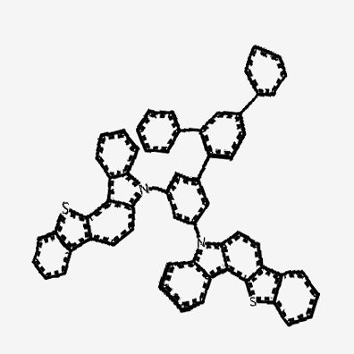 c1ccc(-c2ccc(-c3cc(-n4c5ccccc5c5c6sc7ccccc7c6ccc54)cc(-n4c5ccccc5c5c6sc7ccccc7c6ccc54)c3)c(-c3ccccc3)c2)cc1